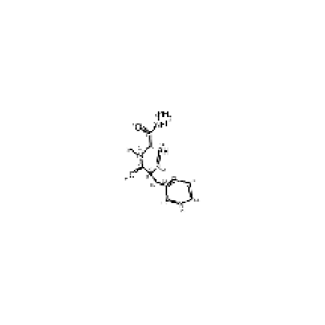 CN(CC(=O)NP)C(=O)[C@H](Cc1cccnc1)N=P